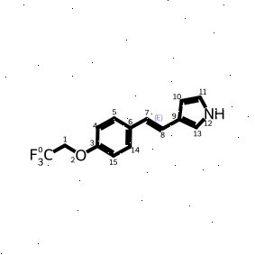 FC(F)(F)COc1ccc(/C=C/c2cc[nH]c2)cc1